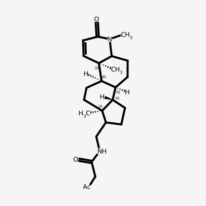 CC(=O)CC(=O)NCC1CC[C@H]2[C@@H]3CCC4N(C)C(=O)C=C[C@]4(C)[C@@H]3CC[C@]12C